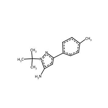 Cc1ccc(-c2cc(N)n(C(C)(C)C)n2)cc1